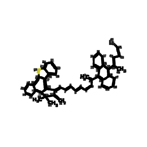 C=C(\C=C/C=C/C=C/C=C1\C(=C)C(C)(C)c2c1c1c3ccccc3sc1c1ccccc21)c1c2ccccc2c(/C(C)=C/C=C\CC)c2ccccc12